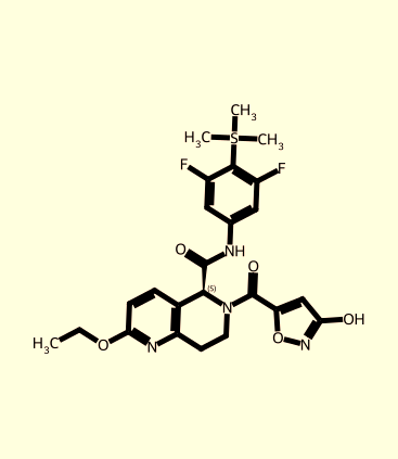 CCOc1ccc2c(n1)CCN(C(=O)c1cc(O)no1)[C@@H]2C(=O)Nc1cc(F)c(S(C)(C)C)c(F)c1